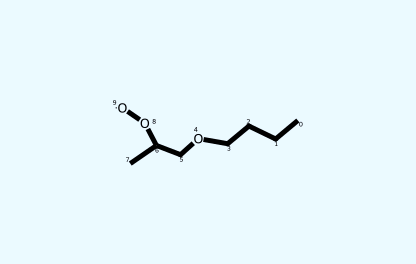 CCCCOCC(C)O[O]